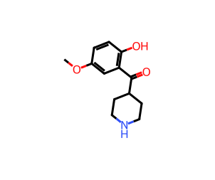 COc1ccc(O)c(C(=O)C2CCNCC2)c1